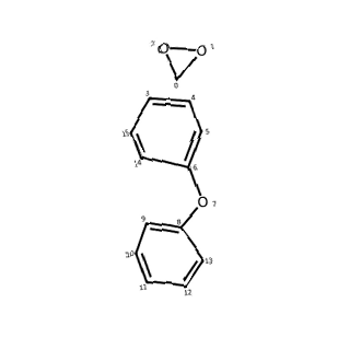 C1OO1.c1ccc(Oc2ccccc2)cc1